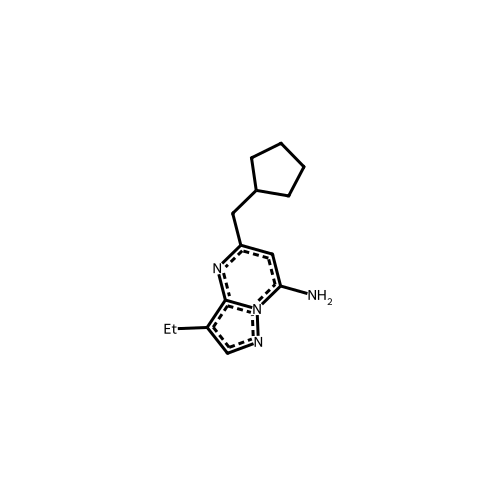 CCc1cnn2c(N)cc(CC3CCCC3)nc12